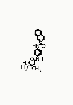 CC(C)(C)CC(=O)Nc1ccc(NC(=O)N2CCc3ccccc3C2)cc1